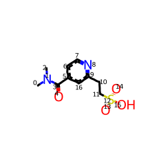 CN(C)C(=O)c1ccnc(CCS(=O)(=O)O)c1